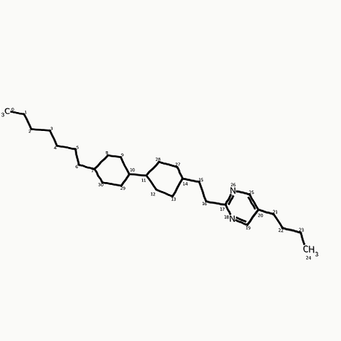 CCCCCCCC1CCC(C2CCC(CCc3ncc(CCCC)cn3)CC2)CC1